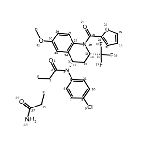 CCC(=O)N(c1ccc(Cl)cc1)[C@H]1C[C@@H](C(F)(F)F)N(C(=O)c2ccco2)c2ccc(OC)cc21.CCC(N)=O